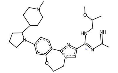 COC(C)CN/C(=N\C(C)=N)c1cn2c(n1)-c1ccc(N3CCCC3C3CCN(C)CC3)cc1OCC2